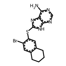 Nc1ncnc2[nH]c(Sc3cc4c(cc3Br)CCCC4)nc12